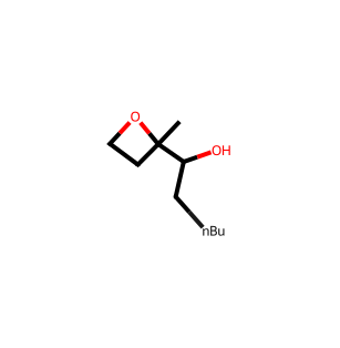 CCCCCC(O)C1(C)CCO1